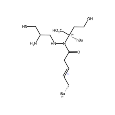 CCCC[C@@](CCO)(C(=O)O)N(NCC(N)CS)C(=O)C/C=C/C[C@@H](C)CC